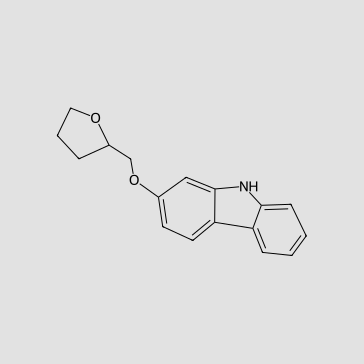 c1ccc2c(c1)[nH]c1cc(OCC3CCCO3)ccc12